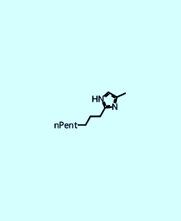 CCCCCCCCc1nc(C)c[nH]1